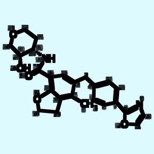 Cc1c(Cc2ccc(-c3ncco3)cc2)cc(C(=O)N[C@H]2CCOC[C@@H]2O)c2c1CCO2